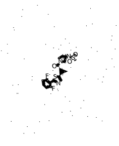 CS(=O)(=O)N[C@H]1CCN(C(=O)[C@@H]2C[C@H]2c2cnc(-c3c(F)cccc3F)s2)C1